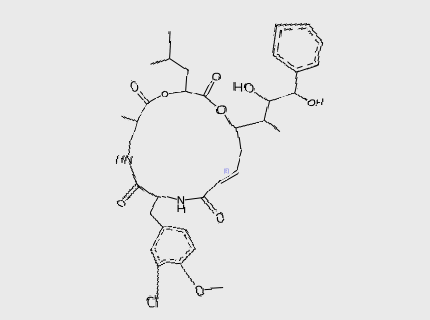 COc1ccc(CC2NC(=O)/C=C/CC(C(C)C(O)C(O)c3ccccc3)OC(=O)C(CC(C)C)OC(=O)C(C)CNC2=O)cc1Cl